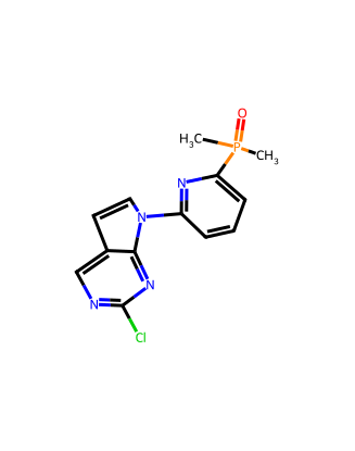 CP(C)(=O)c1cccc(-n2ccc3cnc(Cl)nc32)n1